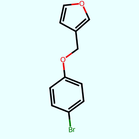 Brc1ccc(OCc2ccoc2)cc1